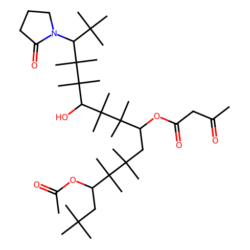 CC(=O)CC(=O)OC(CC(C)(C)C(C)(C)C(CC(C)(C)C)OC(C)=O)C(C)(C)C(C)(C)C(O)C(C)(C)C(C)(C)C(N1CCCC1=O)C(C)(C)C